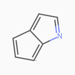 [C]1=C2N=CC=C2C=C1